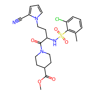 COC(=O)C1CCN(C(=O)C(CCn2cccc2C#N)NS(=O)(=O)c2c(C)cccc2Cl)CC1